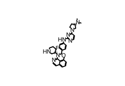 Cc1cccc2ccnc(N(C(=O)c3ccc(Nc4nccc(N5CC[C@H](N(C)C)C5)n4)cc3F)[C@@H]3CCCNC3)c12